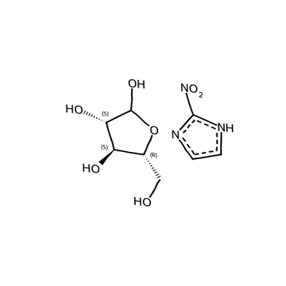 O=[N+]([O-])c1ncc[nH]1.OC[C@H]1OC(O)[C@@H](O)[C@@H]1O